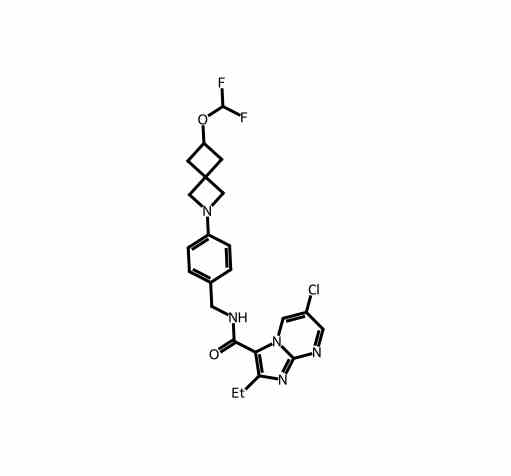 CCc1nc2ncc(Cl)cn2c1C(=O)NCc1ccc(N2CC3(CC(OC(F)F)C3)C2)cc1